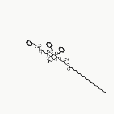 CCCCCCCCCCCCCCCCCC(=O)OCC(O)CO[C@H]1O[C@H](CC(C)=S)[C@@H](OC(=O)CCNC(=O)OCc2ccccc2)[C@H](OCc2ccccc2)[C@H]1OCc1ccccc1